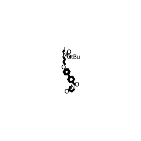 CC(C)(C)OC(=O)N(CI)CCCCOc1ccc(C2=CCC(C(=O)N3CCC(=O)C3)CC2)cc1